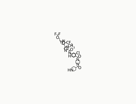 Cn1c(-c2cn(CCOC(F)F)nc2C(F)(F)F)cnc1C(=O)Nc1ccc(C(=O)N2CCN(C(=O)C3CCNCC3)CC2)c(Cl)c1